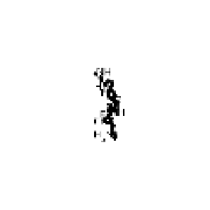 C=C[C@H](N)CCCc1cc(Cl)c(F)c(-c2cc3cn(-c4ccc([C@@H]5CCC[C@@H](CCNC(C)=N)N5)c(F)c4)c(=O)nc3[nH]2)c1